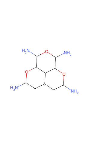 NC1CC2CC(N)OC3C(N)OC(N)C(O1)C23